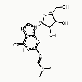 CN(C)C=Nc1nc2c(ncn2[C@@H]2O[C@H](CO)C(O)C2O)c(=O)[nH]1